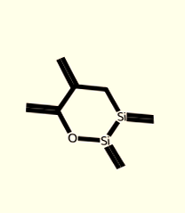 C=C1C[Si](=C)[Si](=C)OC1=C